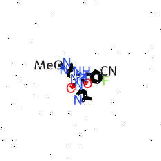 COc1ncc(Nc2nc(=O)n(-c3cncc(C)c3)c(=O)n2Cc2ccc(F)c(C#N)c2)c(C)n1